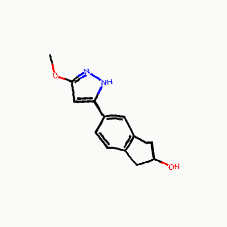 COc1cc(-c2ccc3c(c2)CC(O)C3)[nH]n1